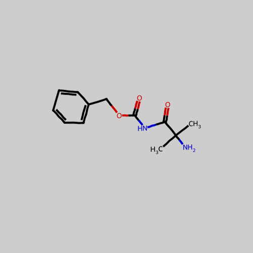 CC(C)(N)C(=O)NC(=O)OCc1ccccc1